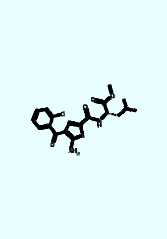 COC(=O)[C@H](CC(C)C)NC(=O)c1cc(C(=O)c2ccccc2Cl)c(N)s1